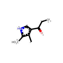 Cc1c(C(=O)CC(F)(F)F)c[nH]c1C(=O)O